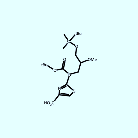 COC(CO[Si](C)(C)C(C)(C)C)CN(C(=O)OC(C)(C)C)c1nc(C(=O)O)cs1